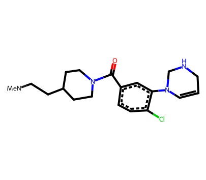 CNCCC1CCN(C(=O)c2ccc(Cl)c(N3C=CCNC3)c2)CC1